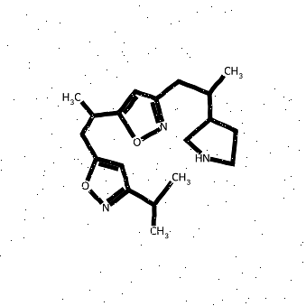 CC(C)c1cc(CC(C)c2cc(CC(C)C3CCNC3)no2)on1